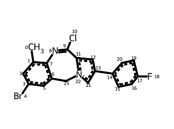 Cc1cc(Br)cc2c1N=C(Cl)c1cc(-c3ccc(F)cc3)cn1C2